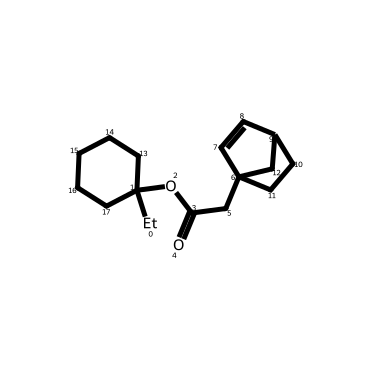 CCC1(OC(=O)CC23C=CC(CC2)C3)CCCCC1